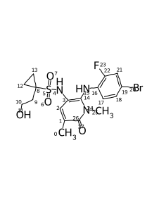 Cc1cc(NS(=O)(=O)C2(CCO)CC2)c(Nc2ccc(Br)cc2F)n(C)c1=O